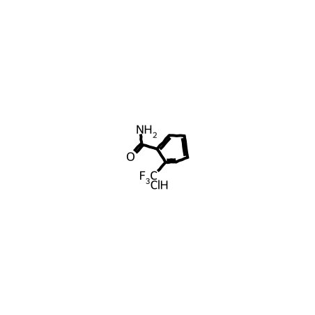 Cl.NC(=O)c1ccccc1C(F)(F)F